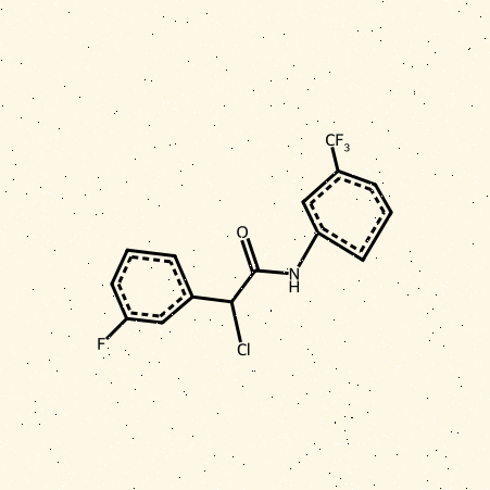 O=C(Nc1cccc(C(F)(F)F)c1)C(Cl)c1cccc(F)c1